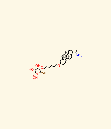 CC(N)[C@H]1CC[C@H]2[C@@H]3CC=C4CC(OCCCCCCO[C@H]5[C@@H](O)[C@H](O)[C@@H](CO)O[C@H]5S)CC[C@]4(C)[C@H]3CC[C@]12C